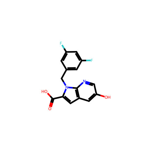 O=C(O)c1cc2cc(O)cnc2n1Cc1cc(F)cc(F)c1